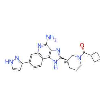 Nc1nc2cc(-c3cc[nH]n3)ccc2c2[nH]c([C@@H]3CCCN(C(=O)C4CCC4)C3)nc12